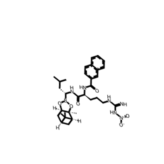 CC(C)C[C@H](NC(=O)[C@H](CCCNC(=N)N[N+](=O)[O-])NC(=O)c1ccc2ccccc2c1)B1O[C@@H]2C[C@@H]3C[C@@H](C3(C)C)[C@]2(C)O1